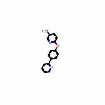 Nc1ccc(Oc2ccc(-c3ccccn3)cc2)nc1